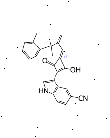 C=C(/C=C1\C(=O)C(c2c[nH]c3ccc(C#N)cc23)=C1O)C(C)(C)c1ccccc1C